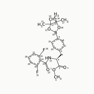 COC(=O)[C@H](Cc1ccc(B2OC(C)(C)C(C)(C)O2)cc1)NC(=O)c1c(F)cccc1F